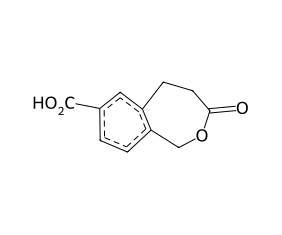 O=C1CCc2cc(C(=O)O)ccc2CO1